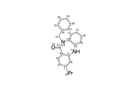 CC(C)c1ccc2c(c1)Nc1ccccc1N(Cc1ccccc1)C2=O